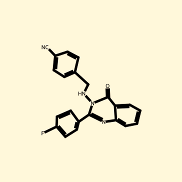 N#Cc1ccc(CNn2c(-c3ccc(F)cc3)nc3ccccc3c2=O)cc1